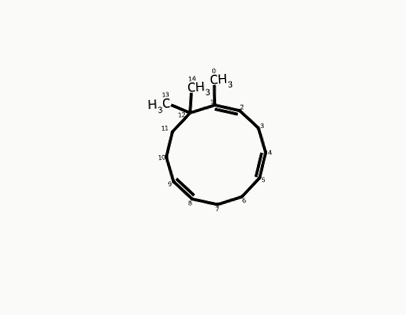 CC1=CCC=CCCC=CCCC1(C)C